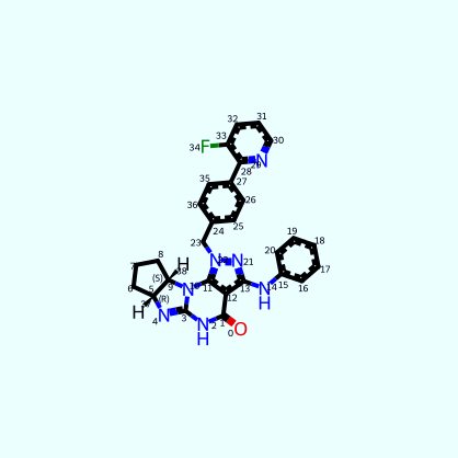 O=C1NC2=N[C@@H]3CCC[C@@H]3N2c2c1c(Nc1ccccc1)nn2Cc1ccc(-c2ncccc2F)cc1